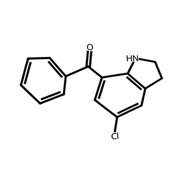 O=C(c1ccccc1)c1cc(Cl)cc2c1NCC2